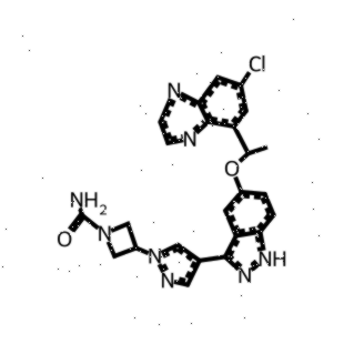 CC(Oc1ccc2[nH]nc(-c3cnn(C4CN(C(N)=O)C4)c3)c2c1)c1cc(Cl)cc2nccnc12